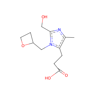 Cc1nc(CO)n(CC2CCO2)c1CCC(=O)O